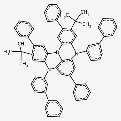 CC(C)(C)c1cc2c(cc1-c1ccccc1)B1c3cc(-c4ccccc4)c(C(C)(C)C)cc3N(c3cccc(-c4ccccc4)c3)c3cc(-c4ccccc4)cc(c31)N2c1cccc(-c2ccccc2)c1